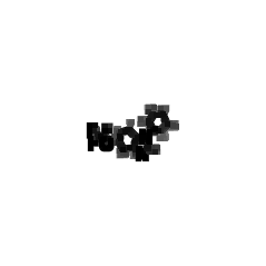 FC(F)(F)Oc1ccc2c(c1)ncn2-c1ccccc1